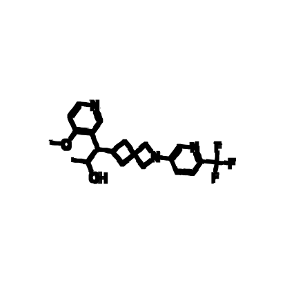 COc1ccncc1C(C(C)O)C1CC2(C1)CN(c1ccc(C(F)(F)F)nc1)C2